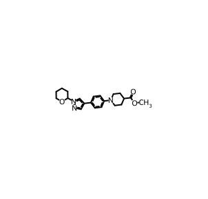 COC(=O)C1CCN(c2ccc(-c3cnn(C4CCCCO4)c3)cc2)CC1